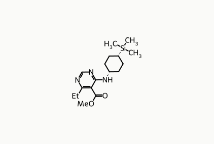 CCc1ncnc(N[C@H]2CC[C@@H]([Si](C)(C)C)CC2)c1C(=O)OC